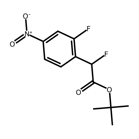 CC(C)(C)OC(=O)C(F)c1ccc([N+](=O)[O-])cc1F